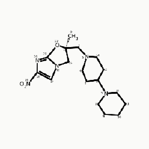 C[C@]1(CN2CCC(N3CCCCC3)CC2)Cn2cc([N+](=O)[O-])nc2O1